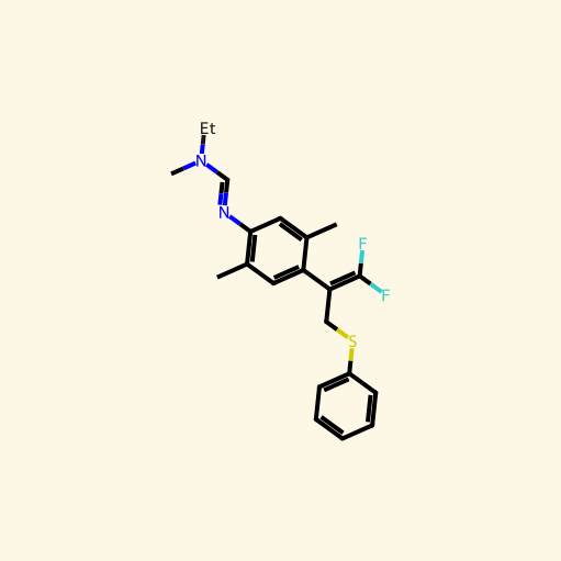 CCN(C)C=Nc1cc(C)c(C(CSc2ccccc2)=C(F)F)cc1C